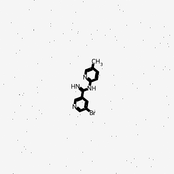 Cc1ccc(NC(=N)c2cncc(Br)c2)nc1